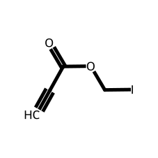 C#CC(=O)OCI